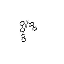 O=C(Nc1ccccc1N1CCN(c2nc3ccccc3s2)CC1)c1csc(-c2cccs2)n1